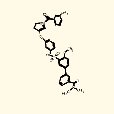 COc1ccc(-c2cccc(C(=O)N(C)C)c2)cc1S(=O)(=O)Nc1cccc(O[C@@H]2CCN(C(=O)c3cccc(C)c3)C2)c1